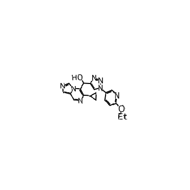 CCOc1ccc(-n2cc(C(O)c3c(C4CC4)ncc4cncn34)nn2)cn1